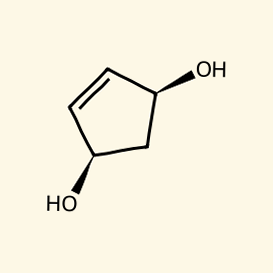 O[C@@H]1C=C[C@H](O)C1